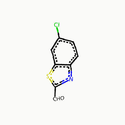 O=Cc1nc2ccc(Cl)cc2s1